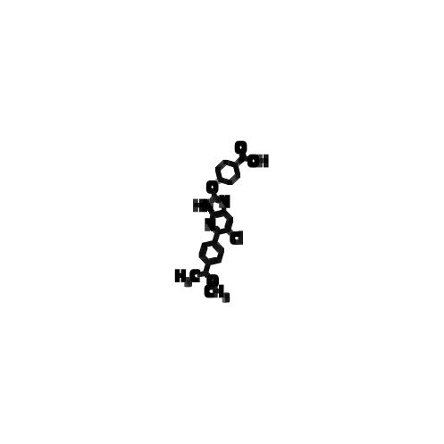 COC(C)c1ccc(-c2nc3[nH]c(O[C@H]4CC[C@H](C(=O)O)CC4)nc3cc2Cl)cc1